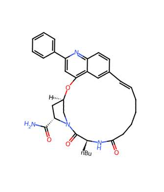 CCCC[C@@H]1NC(=O)CCCC/C=C/c2ccc3nc(-c4ccccc4)cc(c3c2)O[C@@H]2C[C@@H](C(N)=O)N(C2)C1=O